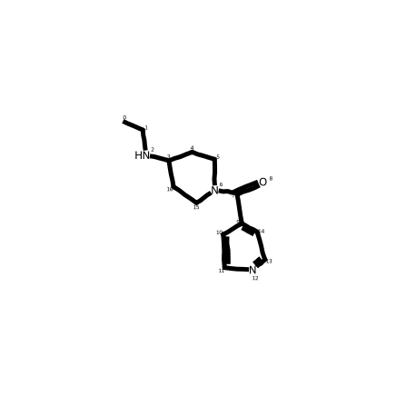 CCNC1CCN(C(=O)c2ccncc2)CC1